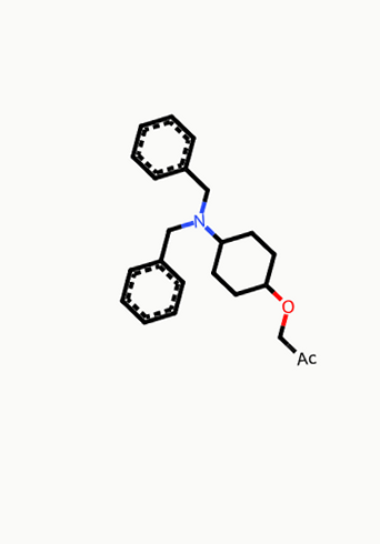 CC(=O)COC1CCC(N(Cc2ccccc2)Cc2ccccc2)CC1